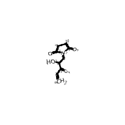 C=CC(=O)C(O)CN1C(=O)CCC1=O